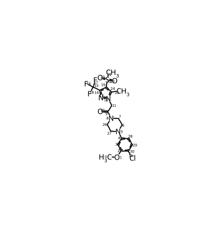 COc1cc(N2CCN(C(=O)Cn3nc(C(F)(F)F)c(S(C)(=O)=O)c3C)CC2)ccc1Cl